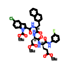 CC(C)(C)OC(=O)CC[C@H](NC(=O)[C@H](CC(=O)OC(C)(C)C)NC(=O)[C@H](Cc1ccc2ccccc2c1)NC(=O)c1cc2cc(Cl)ccc2n1C(=O)OC(C)(C)C)C(=O)Nc1cccc(F)c1